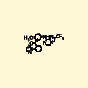 C[C@@H]1CC[C@@H](Nc2nccn3cc(C(F)(F)F)nc23)CN1C(=O)c1ccccc1-n1nccn1